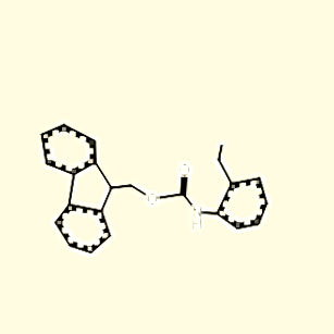 CCc1ccccc1NC(=O)OCC1c2ccccc2-c2ccccc21